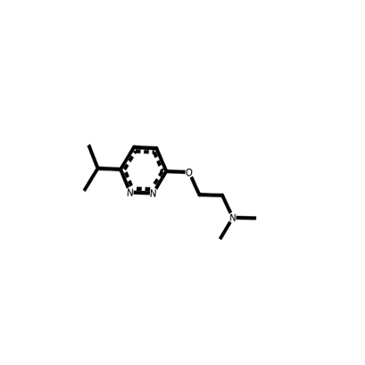 CC(C)c1ccc(OCCN(C)C)nn1